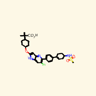 CC(C)(C(=O)O)C1CCC(Oc2cc3nc(-c4ccc(C5=CCC(NS(C)(=O)=O)CC5)cc4)c(Cl)cc3[nH]2)CC1